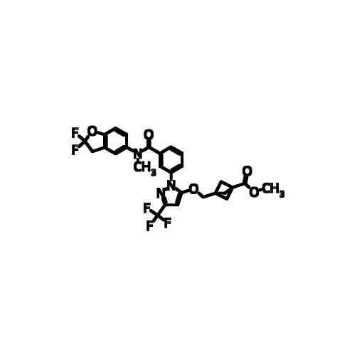 COC(=O)C12CC(COc3cc(C(F)(F)F)nn3-c3cccc(C(=O)N(C)c4ccc5c(c4)CC(F)(F)O5)c3)(C1)C2